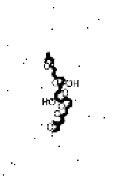 C=C1COC(CCC2CC(O)C(C3CC(O)C4OC(CC(=O)CC5CCOC5)CCC4O3)O2)C1